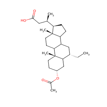 CC[C@H]1CC2C(CC[C@@]3(C)C2CC[C@@H]3[C@H](C)CC(=O)O)[C@@]2(C)CC[C@@H](OC(C)=O)CC12